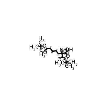 CC(C)(C)OC(=O)CCCCC(N)(C(=O)O)C(=O)OC(C)(C)C